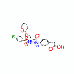 O=C(O)Cc1ccc(NC(=O)C(COC2CCCCO2)NS(=O)(=O)c2ccc(F)cc2)cc1